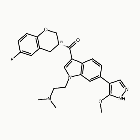 COc1[nH]ncc1-c1ccc2c(C(=O)[C@H]3COc4ccc(F)cc4C3)cn(CCN(C)C)c2c1